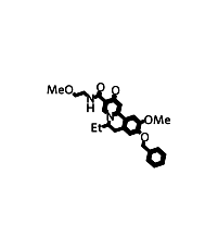 CCC1Cc2cc(OCc3ccccc3)c(OC)cc2-c2cc(=O)c(C(=O)NCCOC)cn21